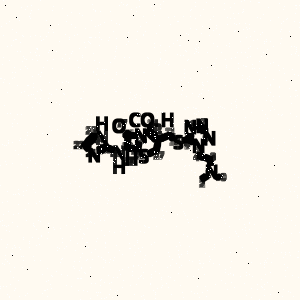 CN(C)CCn1nnnc1SCC1=C(C(=O)O)N2C(=O)C(Nc3ncc[nH]3)[C@@H]2SC1